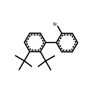 CC(C)(C)c1cccc(-c2ccccc2Br)c1C(C)(C)C